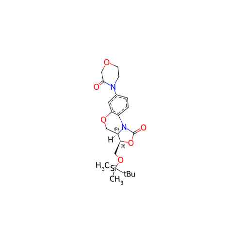 CC(C)(C)[Si](C)(C)OC[C@@H]1OC(=O)N2c3ccc(N4CCOCC4=O)cc3OC[C@H]12